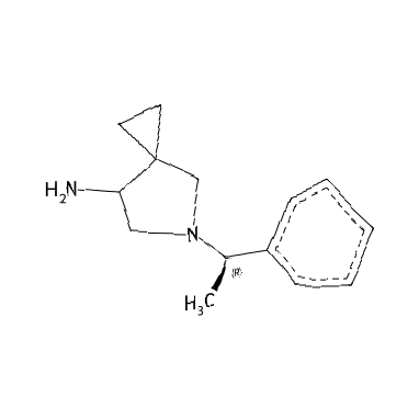 C[C@H](c1ccccc1)N1CC(N)C2(CC2)C1